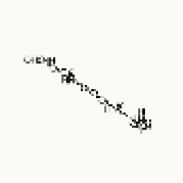 O=CNCCOCCOCC(=O)NCCCOCCOCCOCCCNC(=O)CCCCC1SC[C@@H]2NC(=O)N[C@H]12